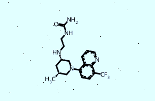 C[C@H]1C[C@@H](NCCNC(N)=O)CN(c2ccc(C(F)(F)F)c3ncccc23)C1